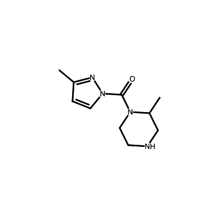 Cc1ccn(C(=O)N2CCNCC2C)n1